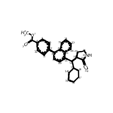 COC(=O)c1ccc(-c2ccc(C(C3CCCCC3)C3CCNC3=O)c3ccccc23)cc1